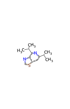 CC(C)c1cc2scnc2c(C(C)C)n1